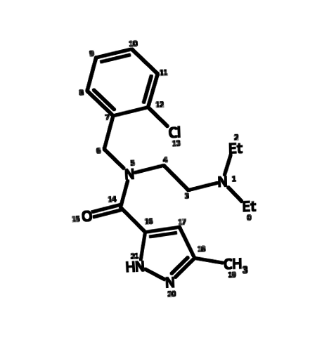 CCN(CC)CCN(Cc1ccccc1Cl)C(=O)c1cc(C)n[nH]1